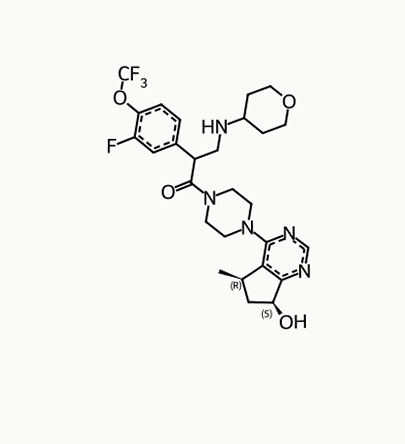 C[C@@H]1C[C@H](O)c2ncnc(N3CCN(C(=O)C(CNC4CCOCC4)c4ccc(OC(F)(F)F)c(F)c4)CC3)c21